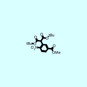 COC(=O)c1ccc([N+](=O)[O-])c(C(C(=O)OC(C)(C)C)C(=O)OC(C)(C)C)c1